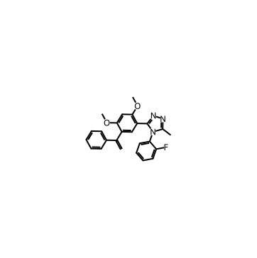 C=C(c1ccccc1)c1cc(-c2nnc(C)n2-c2ccccc2F)c(OC)cc1OC